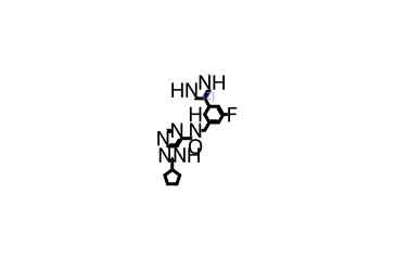 CN/C=C(\C=N)C1C=C(F)C=C(CNC(=O)c2ncnc3nc(C4CCCC4)[nH]c23)C1